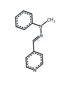 CN(/N=C/c1ccncc1)c1ccccc1